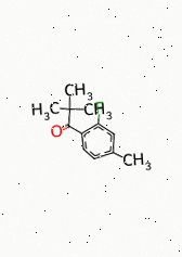 Cc1ccc(C(=O)C(C)(C)C)c(F)c1